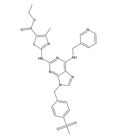 CCOC(=O)c1sc(Nc2nc(NCc3cccnc3)c3ncn(Cc4ccc(S(C)(=O)=O)cc4)c3n2)nc1C